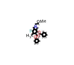 COCCN1Cc2c(F)c(C)c(C(=O)Oc3ccccc3)c(OCc3ccccc3)c2C1